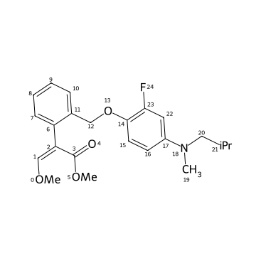 COC=C(C(=O)OC)c1ccccc1COc1ccc(N(C)CC(C)C)cc1F